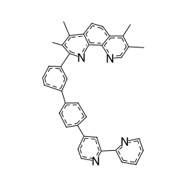 Cc1cnc2c(ccc3c(C)c(C)c(-c4cccc(-c5ccc(-c6ccnc(-c7ccccn7)c6)cc5)c4)nc32)c1C